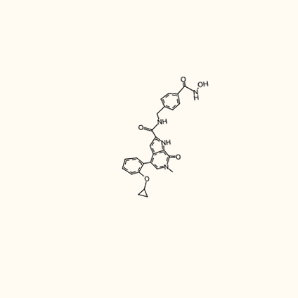 Cn1cc(-c2ccccc2OC2CC2)c2cc(C(=O)NCc3ccc(C(=O)NO)cc3)[nH]c2c1=O